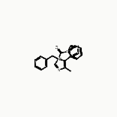 CC1=C(c2ccccc2)[N+](Cc2ccccc2)(C(=O)n2ccnc2)C=N1